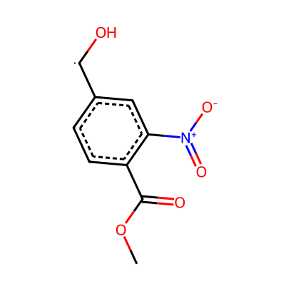 COC(=O)c1ccc([CH]O)cc1[N+](=O)[O-]